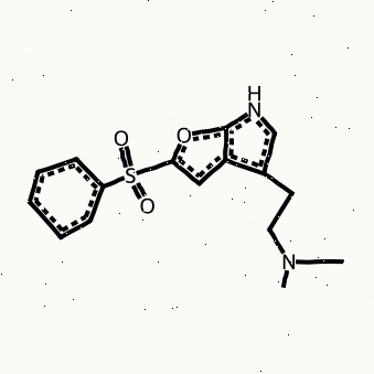 CN(C)CCc1c[nH]c2oc(S(=O)(=O)c3ccccc3)cc12